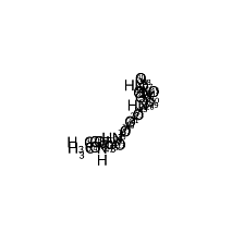 CC(C)(C)OC(=O)Nc1ccc(C(=O)NCCOCCOCCOCCNc2cccc3c2C(=O)N(C2CCC(=O)NC2=O)C3=O)cc1